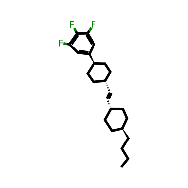 CCCC[C@H]1CC[C@H](C=C[C@H]2CC[C@H](c3cc(F)c(F)c(F)c3)CC2)CC1